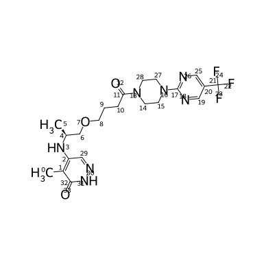 Cc1c(N[C@@H](C)COCCCC(=O)N2CCN(c3ncc(C(F)(F)F)cn3)CC2)cn[nH]c1=O